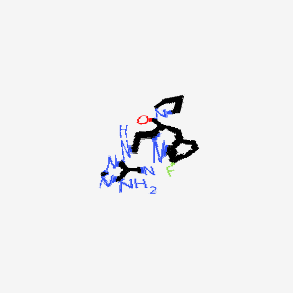 N#Cc1c(N)ncnc1NCCc1nc2c(F)cccc2cc1C(=O)N1CCCC1